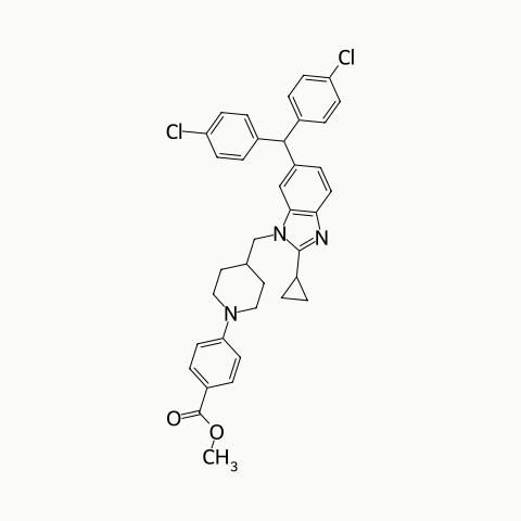 COC(=O)c1ccc(N2CCC(Cn3c(C4CC4)nc4ccc(C(c5ccc(Cl)cc5)c5ccc(Cl)cc5)cc43)CC2)cc1